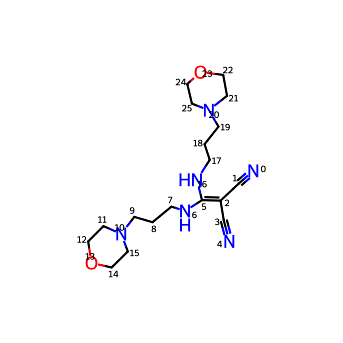 N#CC(C#N)=C(NCCCN1CCOCC1)NCCCN1CCOCC1